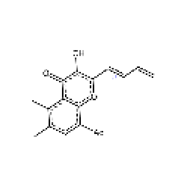 C=C/C=C/c1oc2c(C(C)=O)cc(C)c(C)c2c(=O)c1O